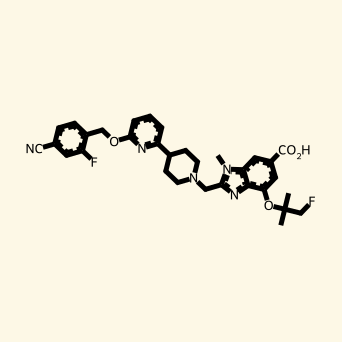 Cn1c(CN2CCC(c3cccc(OCc4ccc(C#N)cc4F)n3)CC2)nc2c(OC(C)(C)CF)cc(C(=O)O)cc21